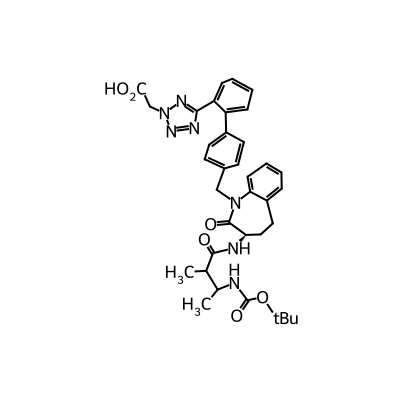 CC(NC(=O)OC(C)(C)C)C(C)C(=O)N[C@@H]1CCc2ccccc2N(Cc2ccc(-c3ccccc3-c3nnn(CC(=O)O)n3)cc2)C1=O